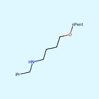 CCCCCOCCCCNCC(C)C